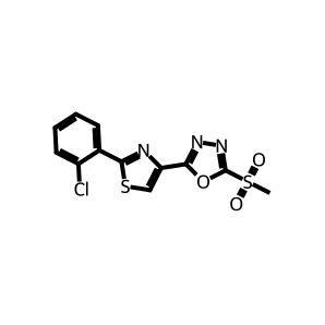 CS(=O)(=O)c1nnc(-c2csc(-c3ccccc3Cl)n2)o1